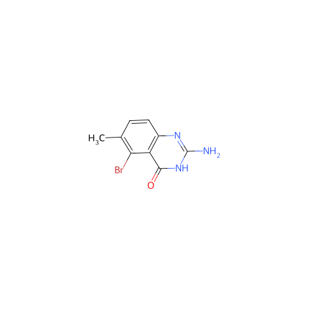 Cc1ccc2nc(N)[nH]c(=O)c2c1Br